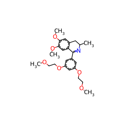 COCCOc1cc(OCCOC)cc(C2=NC(C)Cc3cc(OC)c(OC)cc32)c1